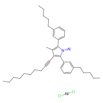 CCCCCCCCC#CC1=C(c2cccc(CCCCC)c2)[N+](=[N-])C(c2cccc(CCCCC)c2)=C1C.[Cl][Ni][Cl]